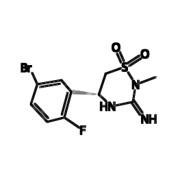 CN1C(=N)N[C@H](c2cc(Br)ccc2F)CS1(=O)=O